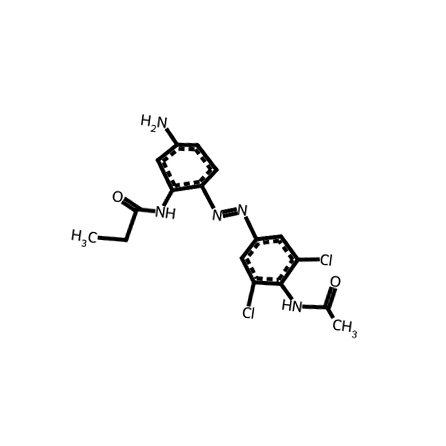 CCC(=O)Nc1cc(N)ccc1N=Nc1cc(Cl)c(NC(C)=O)c(Cl)c1